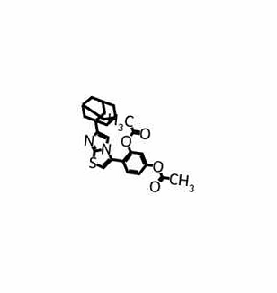 CC(=O)Oc1ccc(-c2csc3nc(C45CC6CC(CC(C6)C4)C5)cn23)c(OC(C)=O)c1